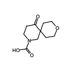 O=C(O)N1CCC(=O)C2(CCOCC2)C1